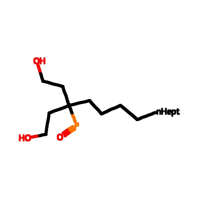 CCCCCCCCCCCC(CCO)(CCO)P=O